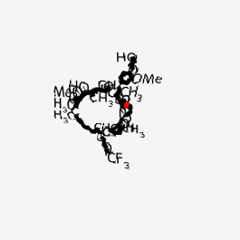 CO[C@@H]1C[C@H](C[C@@H](C)[C@@H]2CC(=O)[C@H](C)/C=C(\C)[C@@H](O)[C@@H](OC)C(=O)[C@H](C)C[C@H](C)/C=C/C=C/C=C(\C)[C@@H](OCCOCC(F)(F)F)C[C@@H]3CC[C@@H](C)[C@@](O)(O3)C(=O)C(=O)N3CCCC[C@H]3C(=O)O2)CC[C@H]1OCCO